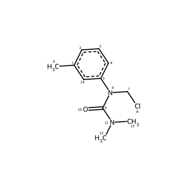 Cc1cccc(N(CCl)C(=O)N(C)C)c1